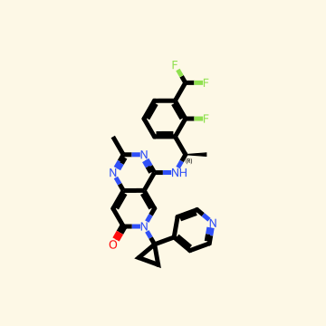 Cc1nc(N[C@H](C)c2cccc(C(F)F)c2F)c2cn(C3(c4ccncc4)CC3)c(=O)cc2n1